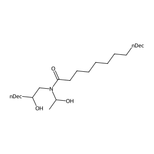 CCCCCCCCCCCCCCCCCC(=O)N(CC(O)CCCCCCCCCC)C(C)O